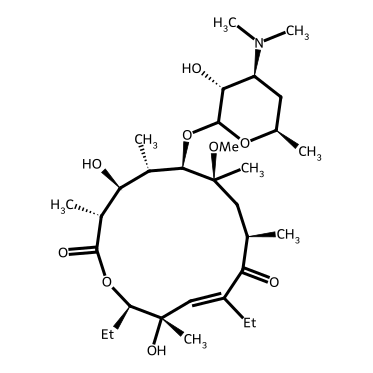 CC/C1=C\[C@](C)(O)[C@@H](CC)OC(=O)[C@H](C)[C@@H](O)[C@H](C)[C@@H](OC2O[C@H](C)C[C@H](N(C)C)[C@H]2O)[C@@](C)(OC)C[C@@H](C)C1=O